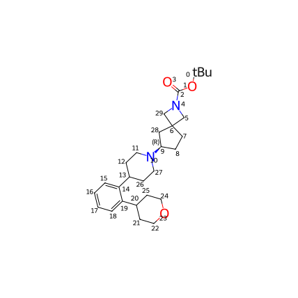 CC(C)(C)OC(=O)N1CC2(CC[C@@H](N3CCC(c4ccccc4C4CCOCC4)CC3)C2)C1